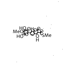 CO[C@@H]1[C@H](O)[C@@H](O)[C@H](c2ccc3c(O)c(C(=O)CSC)c(=O)oc3c2C)O[C@]1(C)CO